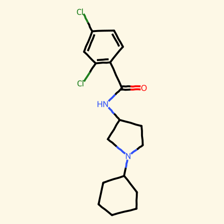 O=C(NC1CCN(C2CCCCC2)C1)c1ccc(Cl)cc1Cl